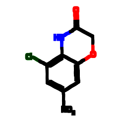 O=C1COc2cc([N+](=O)[O-])cc(Cl)c2N1